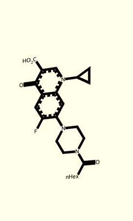 CCCCCCC(=O)N1CCN(c2cc3c(cc2F)c(=O)c(C(=O)O)cn3C2CC2)CC1